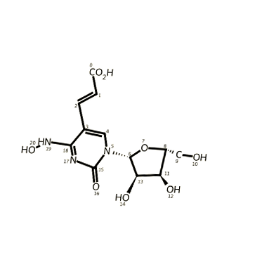 O=C(O)/C=C/c1cn([C@@H]2O[C@H](CO)[C@@H](O)[C@H]2O)c(=O)nc1NO